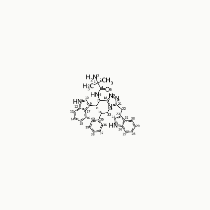 CC(C)(N)C(=O)NC(Cc1c[nH]c2ccccc12)c1nnc(Cc2c[nH]c3ccccc23)n1CCc1ccccc1